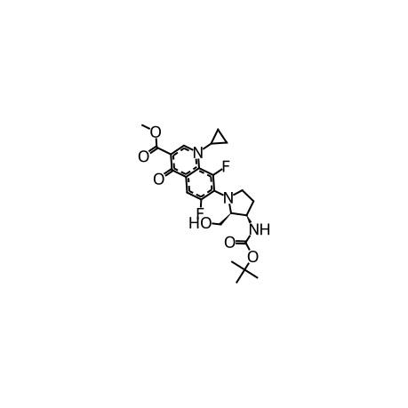 COC(=O)c1cn(C2CC2)c2c(F)c(N3CC[C@@H](NC(=O)OC(C)(C)C)[C@H]3CO)c(F)cc2c1=O